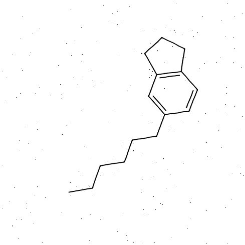 CCCCCCc1ccc2c(c1)[CH]CC2